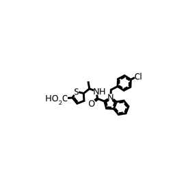 CC(NC(=O)c1cc2ccccc2n1Cc1ccc(Cl)cc1)C1CC=C(C(=O)O)S1